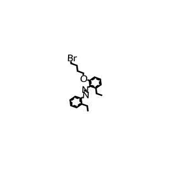 CCc1ccccc1N=Nc1c(CC)cccc1OCCCCBr